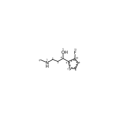 CNCCC(O)c1sccc1F